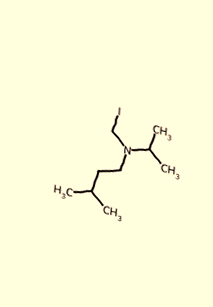 CC(C)CCN(CI)C(C)C